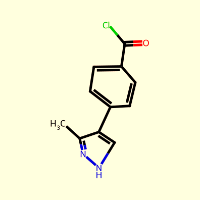 Cc1n[nH]cc1-c1ccc(C(=O)Cl)cc1